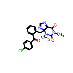 CN1C(=O)C2=NC=NC2(Cc2ccccc2C(=O)c2ccc(Cl)cc2)N(C)C1=O